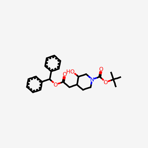 CC(C)(C)OC(=O)N1CCC(CC(=O)OC(c2ccccc2)c2ccccc2)C(O)C1